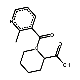 Cc1ncccc1C(=O)N1CCCCC1C(=O)O